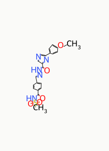 CCOc1ccc(-c2cncc(C(=O)N/N=C/c3ccc(C(=O)NS(C)(=O)=O)cc3)n2)cc1